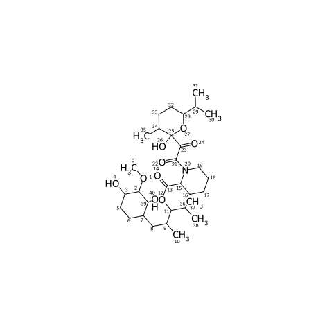 COC1C(O)CCC(CC(C)C(OC(=O)C2CCCCN2C(=O)C(=O)C2(O)OC(C(C)C)CCC2C)C(C)C)C1O